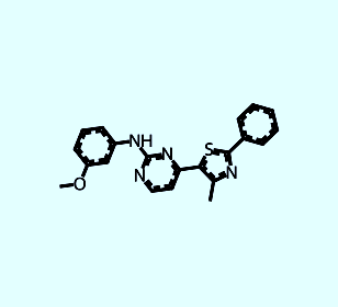 COc1cccc(Nc2nccc(-c3sc(-c4ccccc4)nc3C)n2)c1